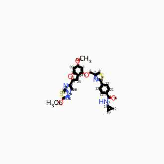 COc1cc(OCc2csc(-c3ccc(C(=O)NC4CC4)cc3)n2)c2cc(-c3cn4nc(OC)sc4n3)oc2c1